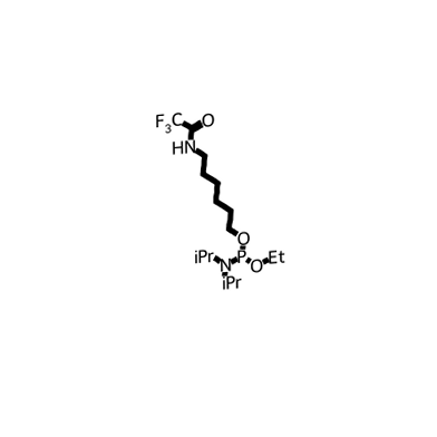 CCOP(OCCCCCCNC(=O)C(F)(F)F)N(C(C)C)C(C)C